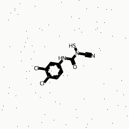 N#CN(S)C(=O)Nc1ccc(Cl)c(Cl)c1